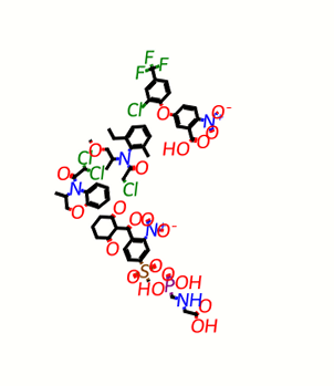 CC1COc2ccccc2N1C(=O)C(Cl)Cl.CCc1cccc(C)c1N(C(=O)CCl)C(C)COC.CS(=O)(=O)c1ccc(C(=O)C2C(=O)CCCC2=O)c([N+](=O)[O-])c1.O=C(O)CNCP(=O)(O)O.O=C(O)c1cc(Oc2ccc(C(F)(F)F)cc2Cl)ccc1[N+](=O)[O-]